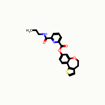 CCCNC(=O)c1cccc(C(=O)Oc2ccc3c(c2)OCCc2ccsc2-3)n1